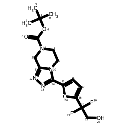 CC(C)(C)OC(=O)N1CCn2c(nnc2-c2ccc(C(F)(F)CO)o2)C1